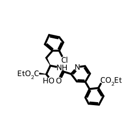 CCOC(=O)c1ccccc1-c1ccnc(C(=O)N[C@H](Cc2ccccc2Cl)[C@@H](O)C(=O)OCC)c1